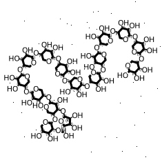 OC[C@@H]1O[C@@H](O[C@@H]2[C@@H](O)[C@H](O[C@@H]3CO[C@@H](O[C@@H]4CO[C@@H](O[C@@H]5CO[C@@H](O[C@@H]6CO[C@@H](O[C@@H]7CO[C@@H](O[C@@H]8CO[C@@H](O[C@@H]9CO[C@@H](O[C@@H]%10CO[C@@H](O[C@@H]%11CO[C@@H](O[C@@H]%12CO[C@@H](O[C@@H]%13CO[C@@H](O[C@@H]%14COC(O)[C@H](O)[C@H]%14O)[C@H](O)[C@H]%13O)[C@H](O)[C@H]%12O)[C@H](O)[C@H]%11O)[C@H](O)[C@H]%10O)[C@H](O)[C@H]9O)[C@H](O)[C@H]8O)[C@H](O)[C@H]7O)[C@H](O)[C@H]6O)[C@H](O)[C@H]5O)[C@H](O)[C@H]4O)[C@H](O)[C@H]3O)OC[C@H]2O[C@@H]2OC[C@@H](O)[C@H](O)[C@H]2O)[C@H](O)[C@H]1O